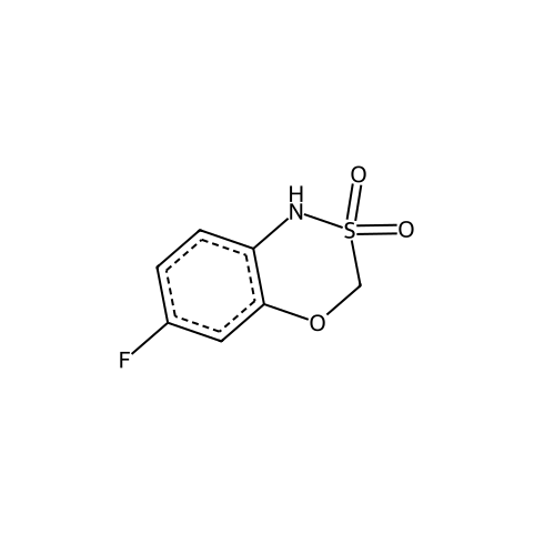 O=S1(=O)COc2cc(F)ccc2N1